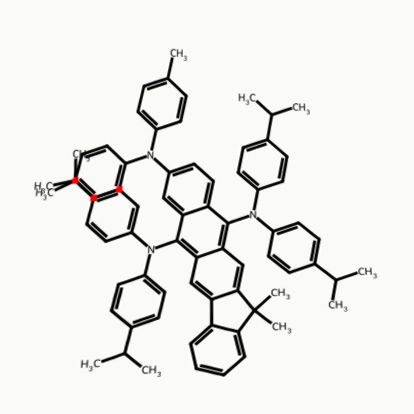 Cc1ccc(N(c2ccc(C)cc2)c2ccc3c(N(c4ccc(C(C)C)cc4)c4ccc(C(C)C)cc4)c4cc5c(cc4c(N(c4ccc(C(C)C)cc4)c4ccc(C(C)C)cc4)c3c2)-c2ccccc2C5(C)C)cc1